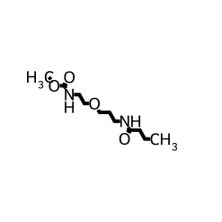 CCCC(=O)NCCCOCCNC(=O)OC